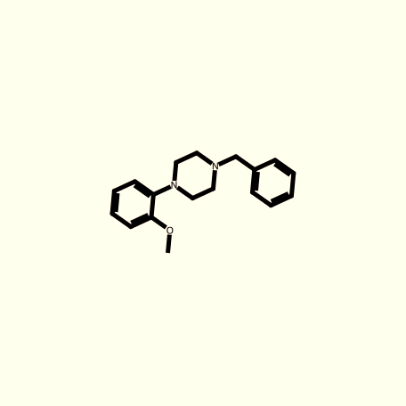 COc1ccccc1N1CCN(Cc2ccccc2)CC1